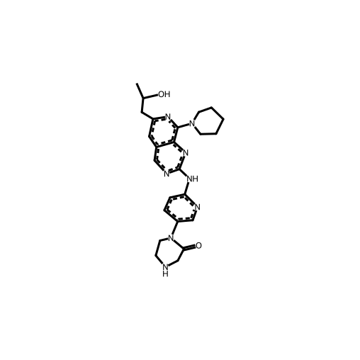 CC(O)Cc1cc2cnc(Nc3ccc(N4CCNCC4=O)cn3)nc2c(N2CCCCC2)n1